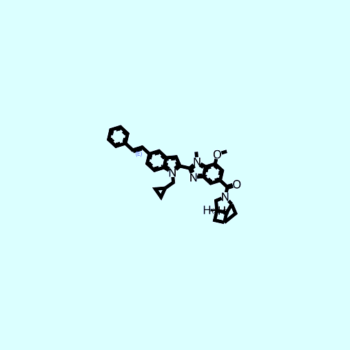 COc1cc(C(=O)N2C[C@H]3CC4CC2[C@H]43)cc2nc(-c3cc4cc(/C=C/c5ccccc5)ccc4n3CC3CC3)n(C)c12